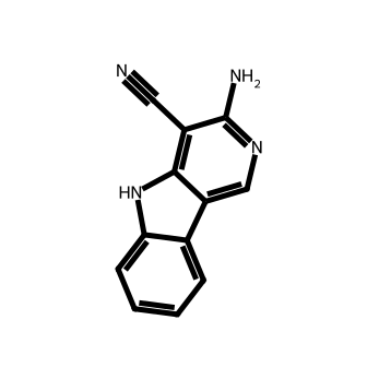 N#Cc1c(N)ncc2c1[nH]c1ccccc12